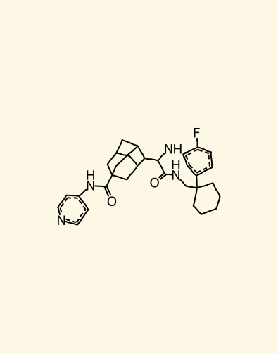 NC(C(=O)NCC1(c2ccc(F)cc2)CCCCC1)C1C2CC3CC1CC(C(=O)Nc1ccncc1)(C3)C2